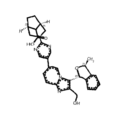 C[C@@H]1O[C@@H](c2c(CO)nc3ccc(-c4cnc(N5C[C@H]6CC[C@@H](C5)C6C(=O)O)nc4)cn23)c2ccccc21